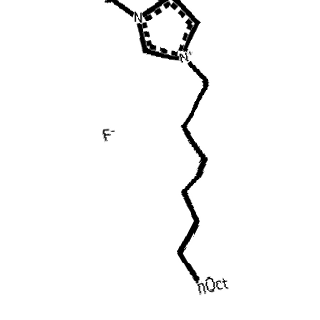 CCCCCCCCCCCCCC[n+]1ccn(C)c1.[F-]